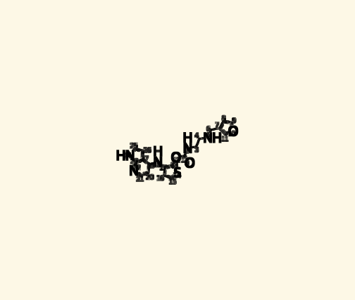 O=C(NCCNCc1ccoc1)Oc1sccc1Nc1ccnc2[nH]ccc12